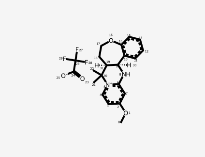 COc1cc[n+]2c(c1)N[C@@H]1c3ccccc3OCC[C@@H]1C2(C)C.O=C([O-])C(F)(F)F